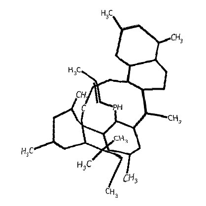 C/C=C/PC1C2CC(C)CC1C1(CCCC3C(CCC4C(C)CC(C)CC43)C2C)C(C)CC(C)CC1C(C)(C)CC